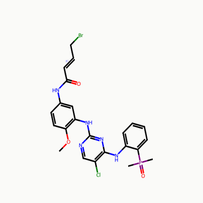 COc1ccc(NC(=O)/C=C/CBr)cc1Nc1ncc(Cl)c(Nc2ccccc2P(C)(C)=O)n1